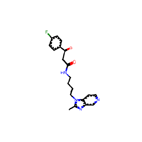 Cc1nc2cnccc2n1CCCCNC(=O)CC(=O)c1ccc(F)cc1